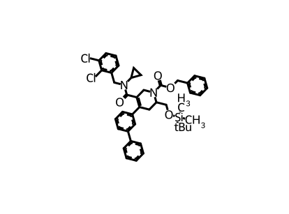 CC(C)(C)[Si](C)(C)OCC1CC(c2cccc(-c3ccccc3)c2)=C(C(=O)N(Cc2cccc(Cl)c2Cl)C2CC2)CN1C(=O)OCc1ccccc1